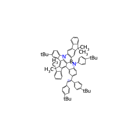 CC(C)(C)c1ccc(/C=C(\c2ccc(C(C)(C)C)cc2)c2ccc3c(c2)-c2c4c(c5c6cc(C(C)(C)C)ccc6n6c5c2B(c2cc5c(cc2-6)-c2ccccc2C5(C)C)N3c2ccc(C(C)(C)C)cc2)C(C)(C)c2ccccc2-4)cc1